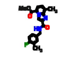 COC(=O)c1ccc(C)c2nc(C(=O)NCc3ccc(F)c(C)c3)cn12